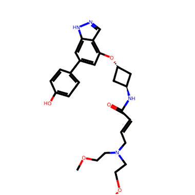 COCCN(C/C=C/C(=O)N[C@H]1C[C@H](Oc2cc(-c3ccc(O)cc3)cc3[nH]ncc23)C1)CCOC